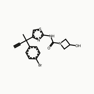 C#CC(C)(c1ccc(Br)cc1)c1csc(NC(=O)N2CC(O)C2)n1